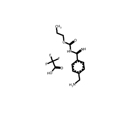 CCCOC(=O)NC(=N)c1ccc(CN)cc1.O=C(O)C(F)(F)F